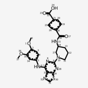 COc1ccc(Nc2nc(N3CCCC(NC(=O)c4ccc(C(=O)O)cc4)C3)nc3scnc23)cc1OC